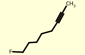 CC#CCCCCCF